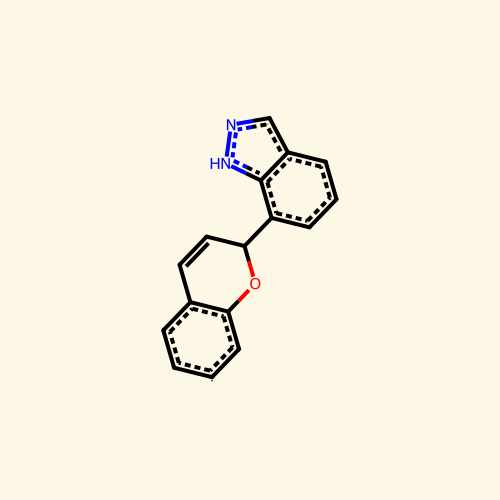 [c]1ccc2c(c1)OC(c1cccc3cn[nH]c13)C=C2